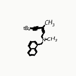 CC(C#CC(C)(C)C)=CCN(C)Cc1cccc2ccccc12